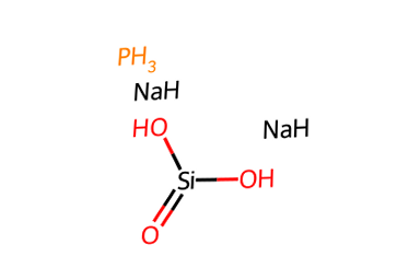 O=[Si](O)O.P.[NaH].[NaH]